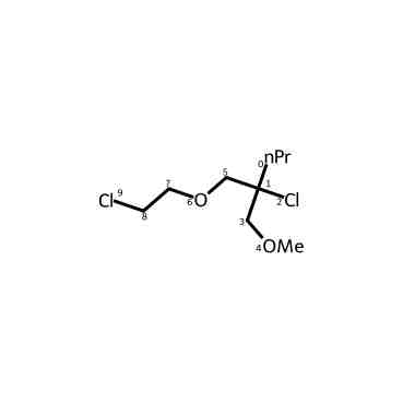 CCCC(Cl)(COC)COCCCl